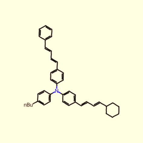 CCCCc1ccc(N(c2ccc(/C=C/C=C/c3ccccc3)cc2)c2ccc(/C=C/C=C/C3CCCCC3)cc2)cc1